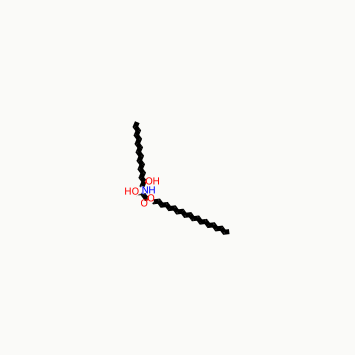 CCCCCCCCCCCCCCCCCCCCOC(=O)[C@H](CO)NCC(O)CCCCCCCCCCCCCC